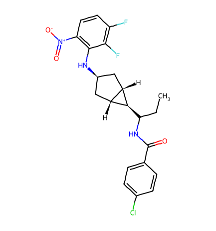 CCC(NC(=O)c1ccc(Cl)cc1)[C@H]1[C@@H]2C[C@@H](Nc3c([N+](=O)[O-])ccc(F)c3F)C[C@@H]21